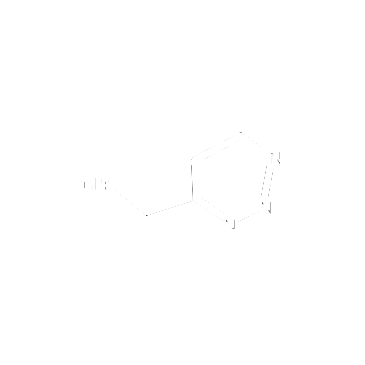 CCCCc1[c]cnnn1